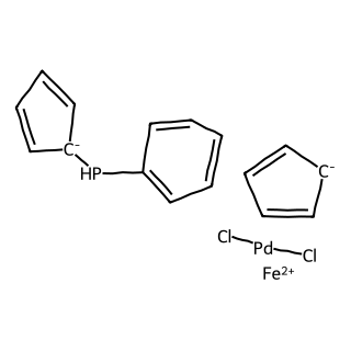 [Cl][Pd][Cl].[Fe+2].c1cc[cH-]c1.c1ccc(P[c-]2cccc2)cc1